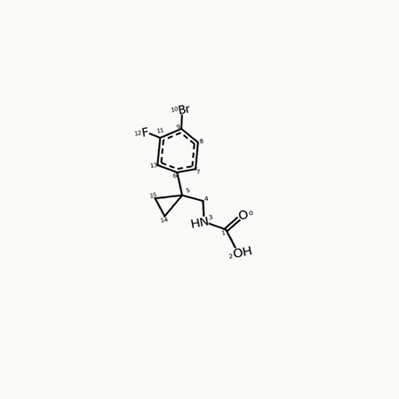 O=C(O)NCC1(c2ccc(Br)c(F)c2)CC1